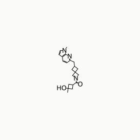 Cn1ccc2ccc(CC3CC4(C3)CN(C(=O)C3CC(C)(O)C3)C4)nc21